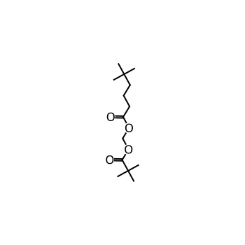 CC(C)(C)CCCC(=O)OCOC(=O)C(C)(C)C